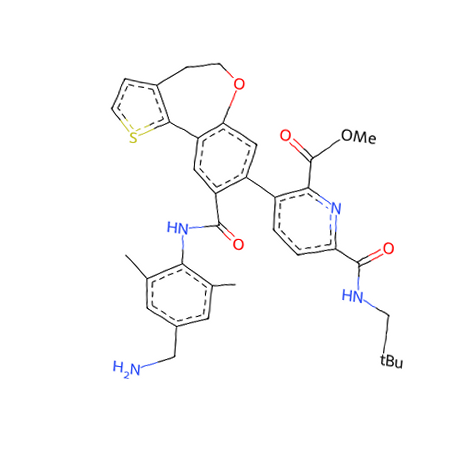 COC(=O)c1nc(C(=O)NCC(C)(C)C)ccc1-c1cc2c(cc1C(=O)Nc1c(C)cc(CN)cc1C)-c1sccc1CCO2